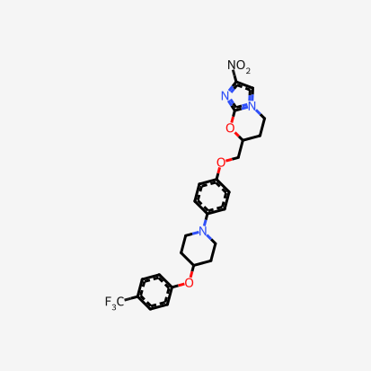 O=[N+]([O-])c1cn2c(n1)OC(COc1ccc(N3CCC(Oc4ccc(C(F)(F)F)cc4)CC3)cc1)CC2